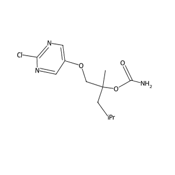 CC(C)CC(C)(COc1cnc(Cl)nc1)OC(N)=O